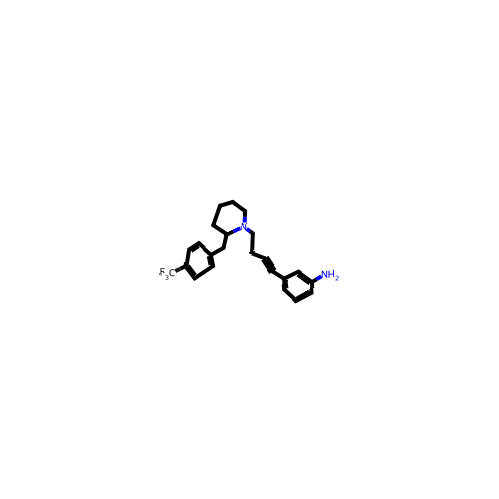 Nc1cccc(C#CCCN2CCCCC2Cc2ccc(C(F)(F)F)cc2)c1